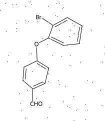 O=Cc1ccc(Oc2ccccc2Br)cc1